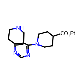 CCOC(=O)C1CCN(c2ncnc3c2CNCC3)CC1